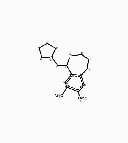 COc1cc2c(cc1OC)C(CN1CCCC1)OCCC2